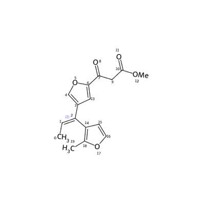 C/C=C(/c1coc(C(=O)CC(=O)OC)c1)c1ccoc1C